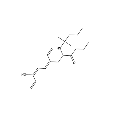 C=C/C(=C\C=C(\O)C=C)CC(NC(C)(C)CCC)C(=O)CCC